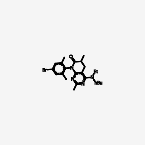 CCCCN(CC)c1nc(C)nc2c1CC(C)C(=O)N2c1c(C)cc(Br)cc1C